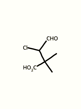 CC(C)(C(=O)O)C(Cl)C=O